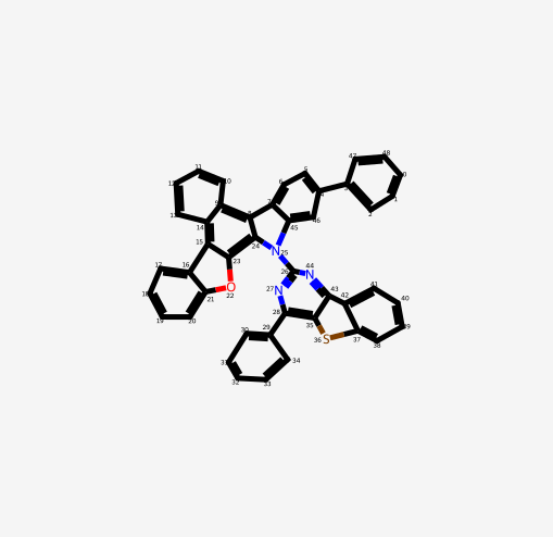 c1ccc(-c2ccc3c4c5ccccc5c5c6ccccc6oc5c4n(-c4nc(-c5ccccc5)c5sc6ccccc6c5n4)c3c2)cc1